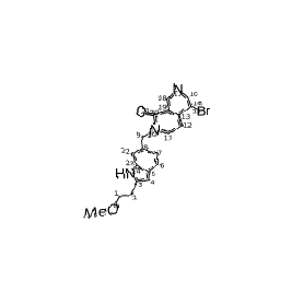 COCCc1cc2ccc(Cn3ccc4c(Br)cncc4c3=O)cc2[nH]1